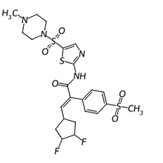 CN1CCN(S(=O)(=O)c2cnc(NC(=O)/C(=C/C3CC(F)C(F)C3)c3ccc(S(C)(=O)=O)cc3)s2)CC1